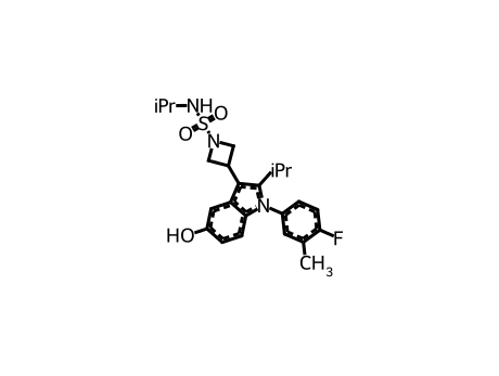 Cc1cc(-n2c(C(C)C)c(C3CN(S(=O)(=O)NC(C)C)C3)c3cc(O)ccc32)ccc1F